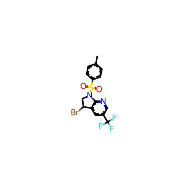 Cc1ccc(S(=O)(=O)N2CC(Br)c3cc(C(F)(F)F)cnc32)cc1